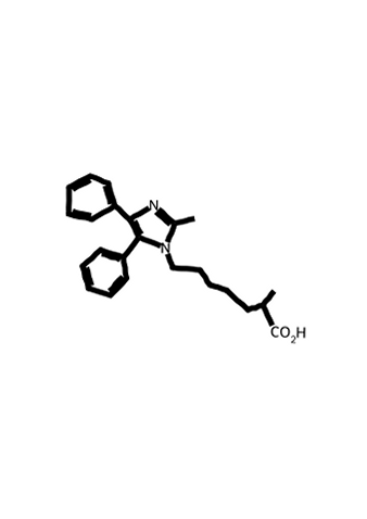 Cc1nc(-c2ccccc2)c(-c2ccccc2)n1CCCCCC(C)C(=O)O